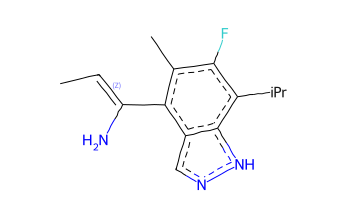 C/C=C(\N)c1c(C)c(F)c(C(C)C)c2[nH]ncc12